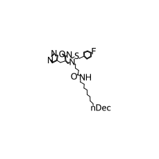 CCCCCCCCCCCCCCCCCCNC(=O)CCCn1cc(Cc2cncnc2)c(=O)nc1SCc1ccc(F)cc1